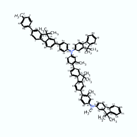 Cc1ccc(-c2ccc3c(c2)C(C)(C)c2cc(-c4ccc(N(c5ccc(-c6ccc7c(c6)C(C)(C)c6cc(-c8ccc(N(C)c9ccc%10c(c9)C(C)(C)c9ccccc9-%10)cc8C)ccc6-7)c(C)c5)c5ccc6c(c5)C(C)(C)c5ccccc5-6)cc4)ccc2-3)cc1